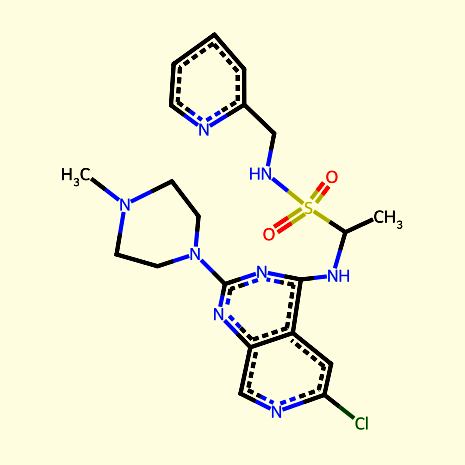 CC(Nc1nc(N2CCN(C)CC2)nc2cnc(Cl)cc12)S(=O)(=O)NCc1ccccn1